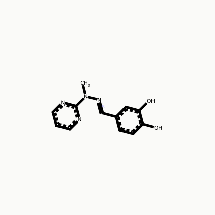 CN(/N=C/c1ccc(O)c(O)c1)c1ncccn1